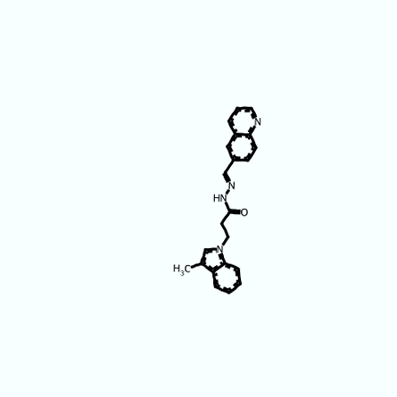 Cc1cn(CCC(=O)N/N=C/c2ccc3ncccc3c2)c2ccccc12